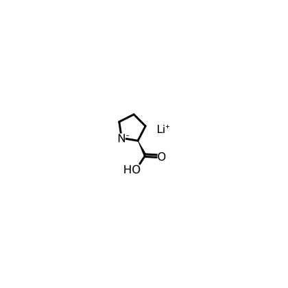 O=C(O)[C@@H]1CCC[N-]1.[Li+]